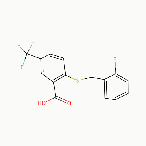 O=C(O)c1cc(C(F)(F)F)ccc1SCc1ccccc1F